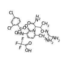 Cc1ccc(NS(=O)(=O)c2ccc(Cl)cc2Cl)c(=O)n1C(C(N)=O)C(C)ON=C(N)N.O=C(O)C(F)(F)F